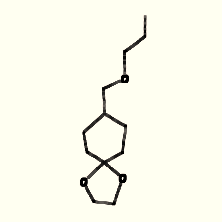 CCCOCC1CCC2(CC1)OCCO2